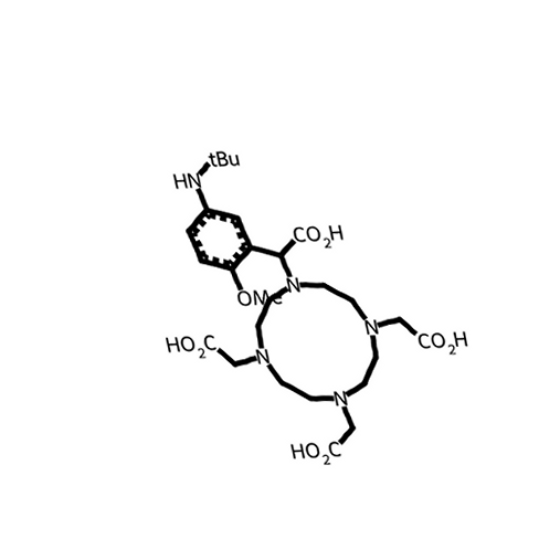 COc1ccc(NC(C)(C)C)cc1C(C(=O)O)N1CCN(CC(=O)O)CCN(CC(=O)O)CCN(CC(=O)O)CC1